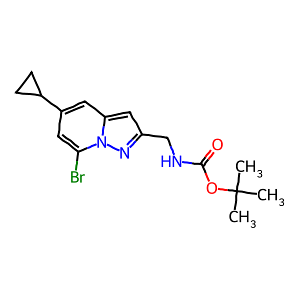 CC(C)(C)OC(=O)NCc1cc2cc(C3CC3)cc(Br)n2n1